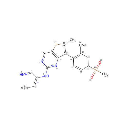 CN/C=C(\C=N)Nc1ncc2sc(C)c(-c3ccc(S(C)(=O)=O)cc3OC)c2n1